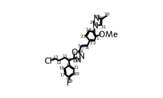 COc1cc(/C=C/c2nnc(C(CCCCl)c3ccc(F)cc3)o2)ccc1-n1cnc(C)c1